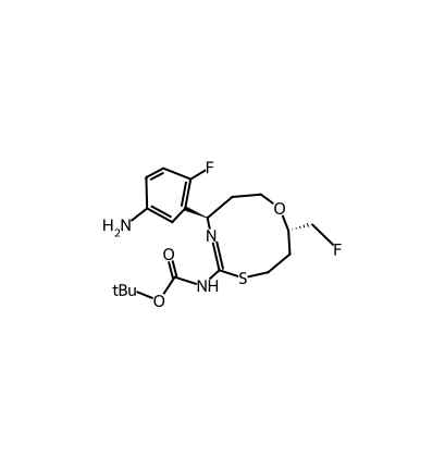 CC(C)(C)OC(=O)N/C1=N/[C@@H](c2cc(N)ccc2F)CCO[C@H](CF)CCS1